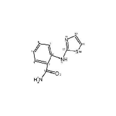 NC(=O)c1ccccc1Nc1nccs1